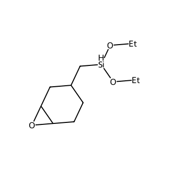 CCO[SiH](CC1CCC2OC2C1)OCC